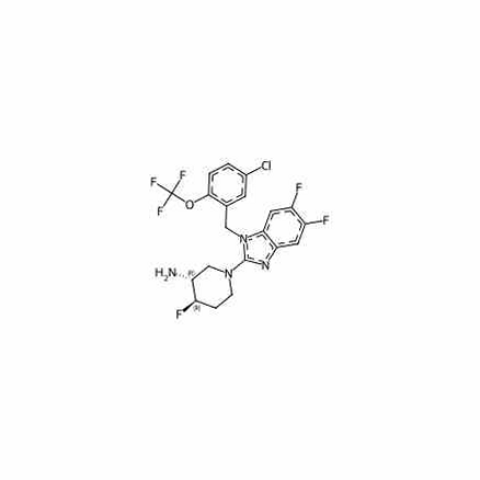 N[C@@H]1CN(c2nc3cc(F)c(F)cc3n2Cc2cc(Cl)ccc2OC(F)(F)F)CC[C@H]1F